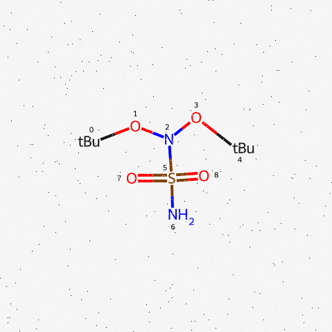 CC(C)(C)ON(OC(C)(C)C)S(N)(=O)=O